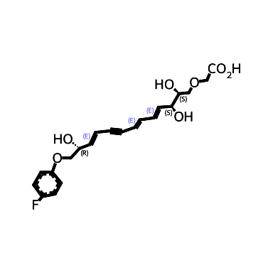 O=C(O)COC[C@H](O)[C@@H](O)/C=C/C=C/C#C/C=C/[C@@H](O)COc1ccc(F)cc1